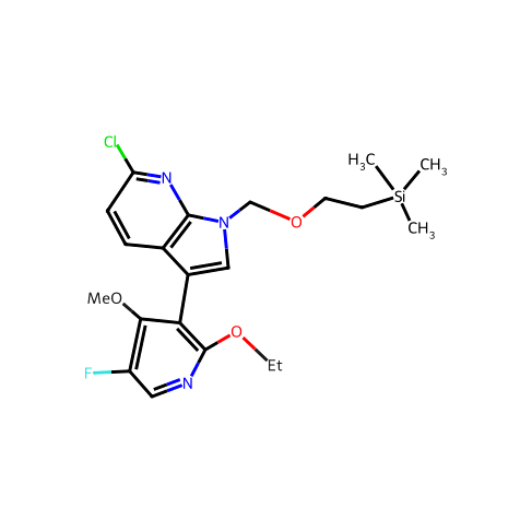 CCOc1ncc(F)c(OC)c1-c1cn(COCC[Si](C)(C)C)c2nc(Cl)ccc12